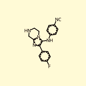 [C-]#[N+]c1ccc(Nc2c(-c3ccc(F)cc3)nc3n2CCNC3)cc1